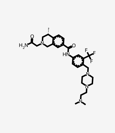 C[C@H]1CN(CC(N)=O)Cc2cc(C(=O)Nc3ccc(CN4CCN(CCN(C)C)CC4)c(C(F)(F)F)c3)ccc21